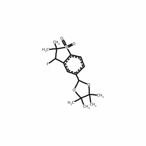 CC1(C)OC(c2ccc3c(c2)C(F)C(C)(C)S3(=O)=O)OC1(C)C